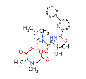 CC(C)C[C@H](NC(=O)[C@@H](NC(=O)c1cccc(-c2ccccc2)n1)[C@@H](C)O)B1OC(=O)CN(C)C(C)C(=O)O1